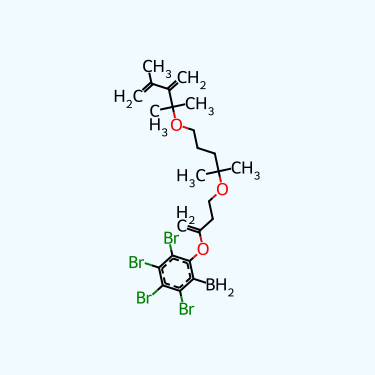 Bc1c(Br)c(Br)c(Br)c(Br)c1OC(=C)CCOC(C)(C)CCCOC(C)(C)C(=C)C(=C)C